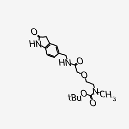 CN(CCOCC(=O)NCc1ccc2c(c1)CC(=O)N2)C(=O)OC(C)(C)C